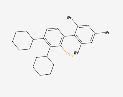 CC(C)c1cc(C(C)C)c(-c2ccc(C3CCCCC3)c(C3CCCCC3)c2P)c(C(C)C)c1